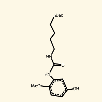 CCCCCCCCCCCCCCNC(=O)Nc1cc(O)ccc1OC